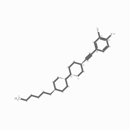 CCCCCC[C@H]1CC[C@H]([C@H]2CC[C@H](C#Cc3ccc(F)c(F)c3)CC2)CC1